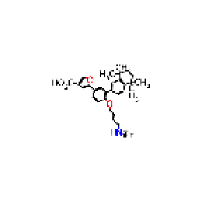 CC(C)NCCCCOc1ccc(-c2cc(C(=O)O)co2)cc1-c1ccc2c(c1)C(C)(C)CCC2(C)C